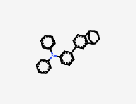 c1ccc(N(c2ccccc2)c2cccc(-c3ccc4c(c3)C3CCC4CC3)c2)cc1